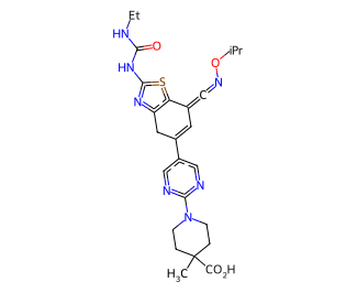 CCNC(=O)Nc1nc2c(s1)C(=C=NOC(C)C)C=C(c1cnc(N3CCC(C)(C(=O)O)CC3)nc1)C2